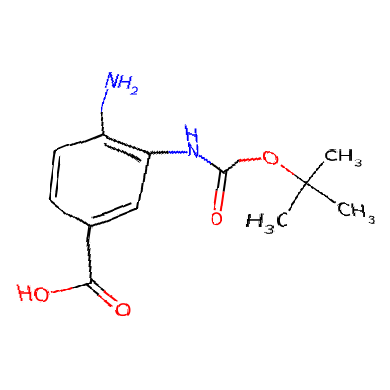 CC(C)(C)OC(=O)Nc1cc(C(=O)O)ccc1N